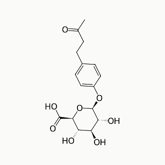 CC(=O)CCc1ccc(O[C@@H]2O[C@H](C(=O)O)[C@@H](O)[C@H](O)[C@H]2O)cc1